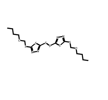 CCCCOCSc1nnc(SSc2nnc(SCOCCCC)s2)s1